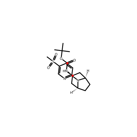 CC(C)(C)OC(=O)N[C@H]1C[C@H]2CC[C@@H](C1)N2c1ccc(S(C)(=O)=O)cn1